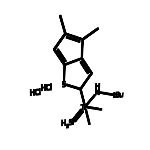 CC1=C(C)C2=C[CH]([Ti]([CH3])([CH3])(=[SiH2])[NH]C(C)(C)C)SC2=C1.Cl.Cl